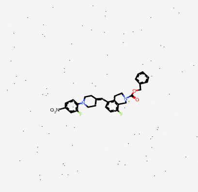 O=C(OCc1ccccc1)N1CCc2c(C=C3CCN(c4ccc([N+](=O)[O-])cc4F)CC3)ccc(F)c2C1